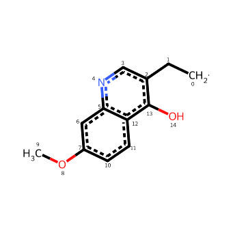 [CH2]Cc1cnc2cc(OC)ccc2c1O